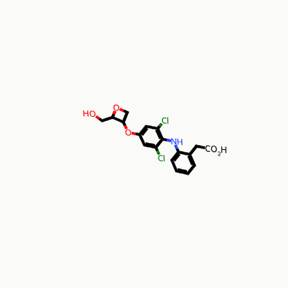 O=C(O)Cc1ccccc1Nc1c(Cl)cc(OC2COC2CO)cc1Cl